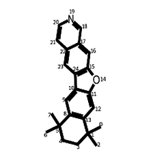 CC1(C)CCC(C)(C)c2cc3c(cc21)oc1cc2cnccc2cc13